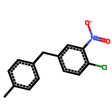 Cc1ccc(Cc2ccc(Cl)c([N+](=O)[O-])c2)cc1